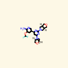 Nc1ncc(-c2cc(N3C[C@@H]4C[C@H]3CO4)nc(N3C[C@H]4COC[C@H]4C3)n2)cc1OC(F)F